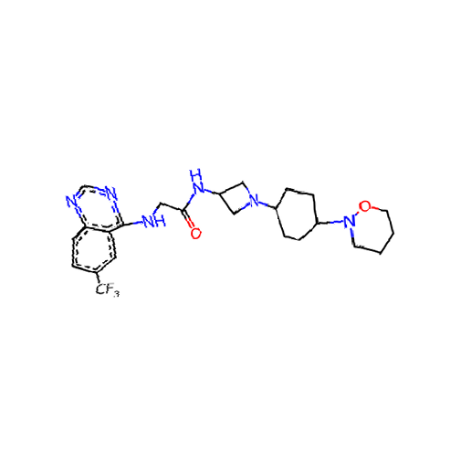 O=C(CNc1ncnc2ccc(C(F)(F)F)cc12)NC1CN(C2CCC(N3CCCCO3)CC2)C1